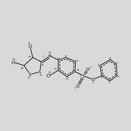 O=S(=O)(Oc1ccccc1)c1ccc(/N=C2\SSC(Cl)C2Cl)c(Cl)c1